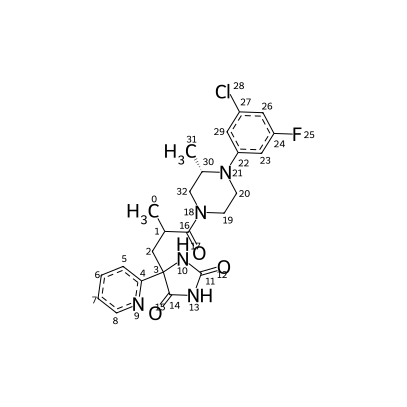 CC(CC1(c2ccccn2)NC(=O)NC1=O)C(=O)N1CCN(c2cc(F)cc(Cl)c2)[C@@H](C)C1